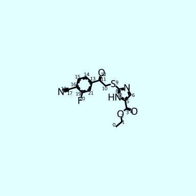 CCOC(=O)c1cnc(SCC(=O)c2ccc(C#N)c(F)c2)[nH]1